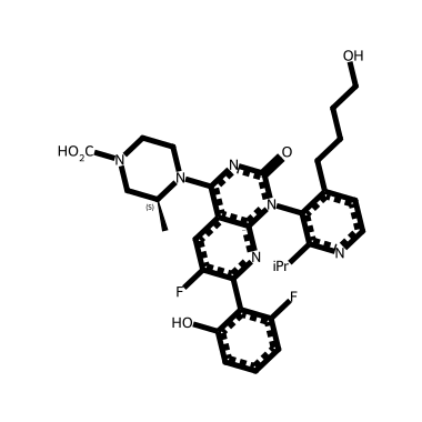 CC(C)c1nccc(CCCCO)c1-n1c(=O)nc(N2CCN(C(=O)O)C[C@@H]2C)c2cc(F)c(-c3c(O)cccc3F)nc21